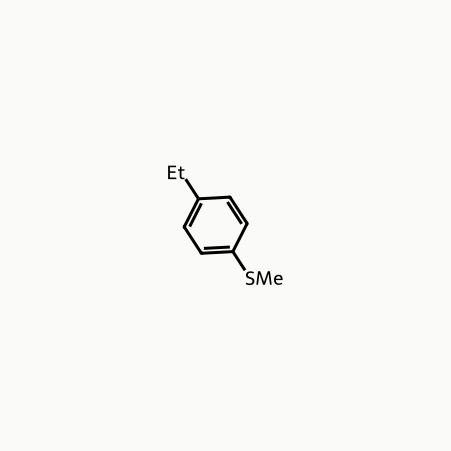 [CH2]Cc1ccc(SC)cc1